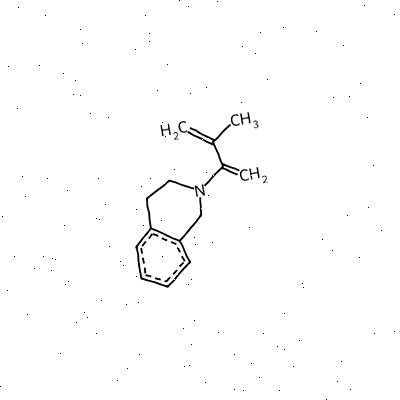 C=C(C)C(=C)N1CCc2ccccc2C1